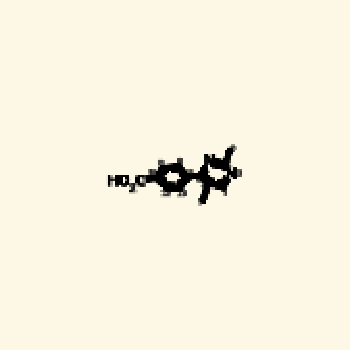 Cc1ncc(C)c(-c2ccc(C(=O)O)cc2)n1